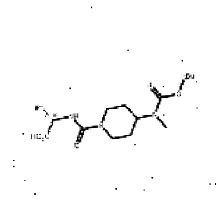 CC(C)[C@H](NC(=O)N1CCC(N(C)C(=O)OC(C)(C)C)CC1)C(=O)O